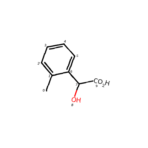 Cc1ccccc1C(O)C(=O)O